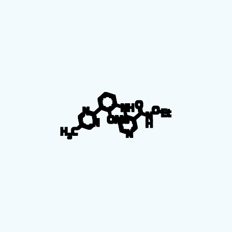 CCONC(=O)c1cnccc1Nc1cccc(-c2ncc(C)cn2)c1OC